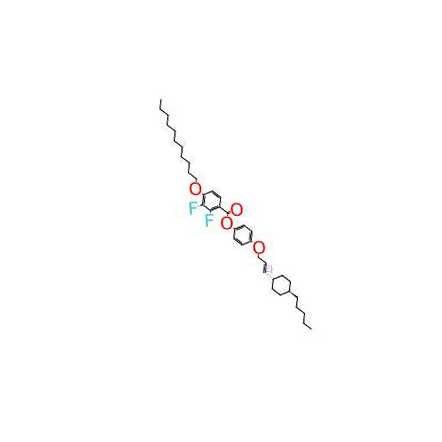 CCCCCCCCCCCOc1ccc(C(=O)Oc2ccc(OC/C=C/[C@H]3CC[C@H](CCCCC)CC3)cc2)c(F)c1F